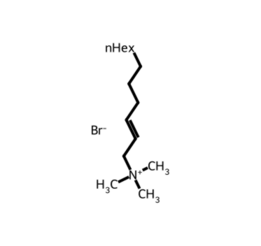 CCCCCCCCCC=CC[N+](C)(C)C.[Br-]